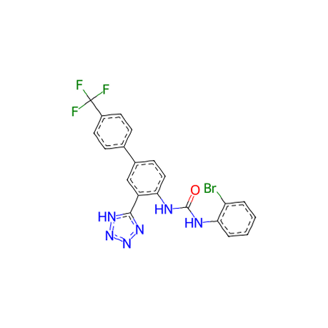 O=C(Nc1ccccc1Br)Nc1ccc(-c2ccc(C(F)(F)F)cc2)cc1-c1nnn[nH]1